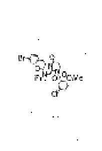 COc1ccc(Cl)cc1S(=O)(=O)N1CCC(=O)N2C1=CN(C(C)C)C(=O)C2Cc1ccc(Br)cc1